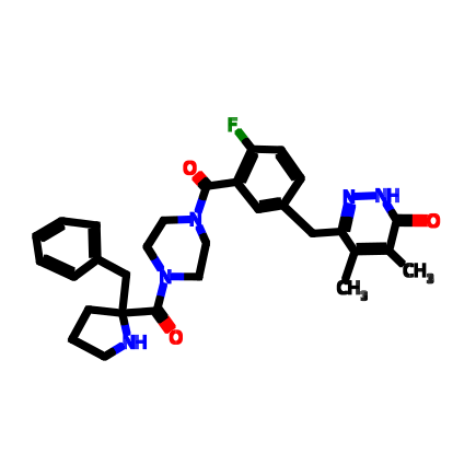 Cc1c(Cc2ccc(F)c(C(=O)N3CCN(C(=O)C4(Cc5ccccc5)CCCN4)CC3)c2)n[nH]c(=O)c1C